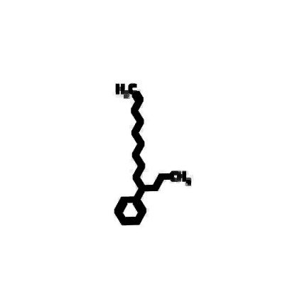 C=CCCCCCCCC(CCC)c1ccccc1